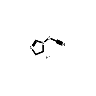 N#CSN1C=NCC1.[H+]